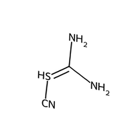 N#C[SH]=C(N)N